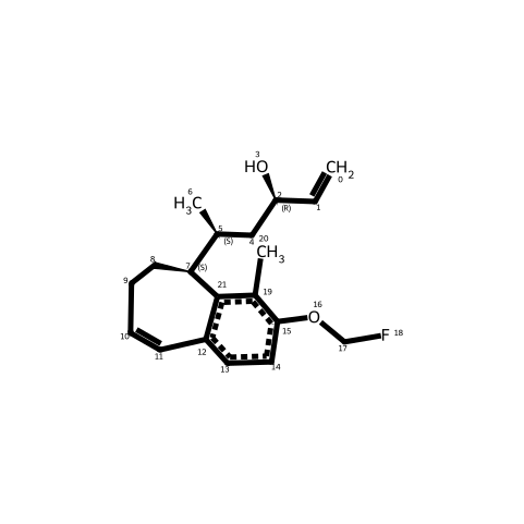 C=C[C@H](O)C[C@H](C)[C@@H]1CCC=Cc2ccc(OCF)c(C)c21